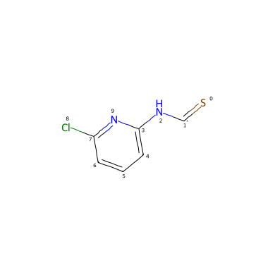 S=[C]Nc1cccc(Cl)n1